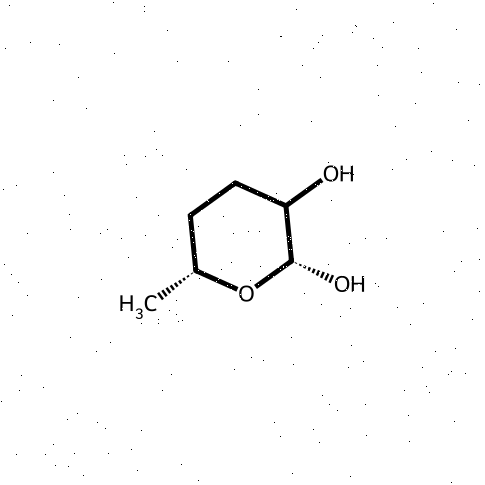 C[C@@H]1CCC(O)[C@H](O)O1